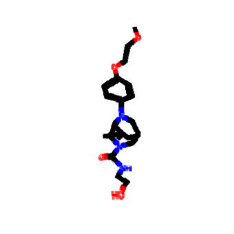 COCCOc1ccc(N2CC3CN(C(=O)NCCO)CC2C(C)(C)C3)cc1